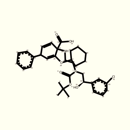 CC(C)(C)OC(=O)N(CCNC1(C(=O)O)C=CC(c2ccccc2)C=C1OC1CCCCC1)C[C@H](O)c1cccc(Cl)c1